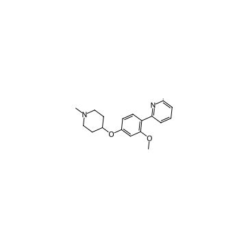 COc1cc(OC2CCN(C)CC2)ccc1-c1ccc[c]n1